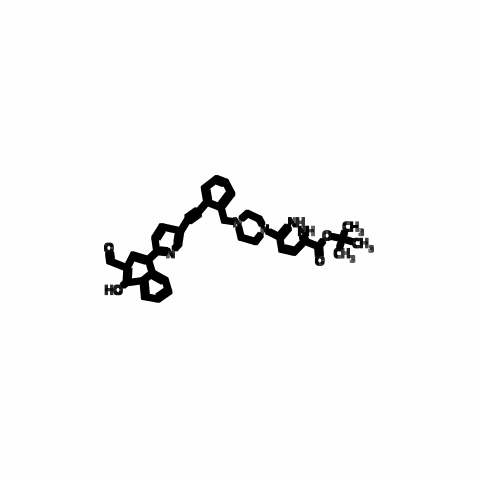 CC(C)(C)OC(=O)C(=N)/C=C\C(=N)N1CCN(Cc2ccccc2C#Cc2ccc(-c3cc(C=O)c(O)c4ccccc34)nc2)CC1